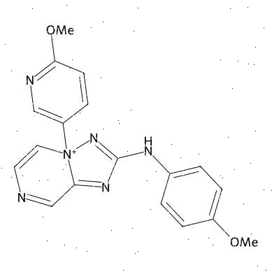 COc1ccc(NC2=N[N+]3(c4ccc(OC)nc4)C=CN=CC3=N2)cc1